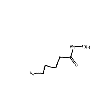 O=C(CCCCBr)NO